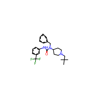 CC(C)(C)CN1CCC(N(Cc2ccccc2)C(=O)Nc2cccc(C(F)(F)F)c2)CC1